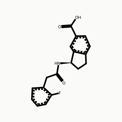 O=C(Cc1ccccc1F)N[C@@H]1CCc2ccc(C(=O)O)cc21